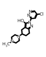 CN1CCN(C2CCc3nn(-c4cc(Cl)cnn4)c(O)c3C2)CC1